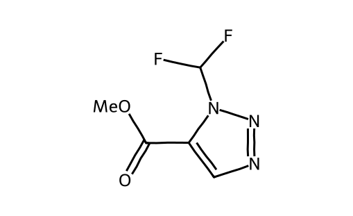 COC(=O)c1cnnn1C(F)F